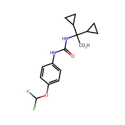 O=C(Nc1ccc(OC(F)F)cc1)NC(C(=O)O)(C1CC1)C1CC1